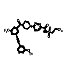 CCOc1cncc(C#Cc2cc(C(=O)N3CCN(c4ccc(C(=O)NS(=O)(=O)CCC(F)(F)F)nn4)CC3)cc(C(F)(F)F)c2)c1